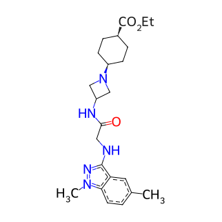 CCOC(=O)[C@H]1CC[C@@H](N2CC(NC(=O)CNc3nn(C)c4ccc(C)cc34)C2)CC1